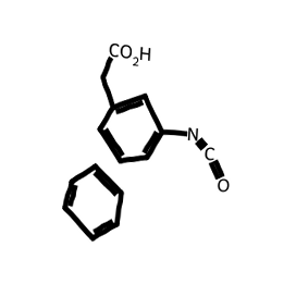 O=C=Nc1cccc(CC(=O)O)c1.c1ccccc1